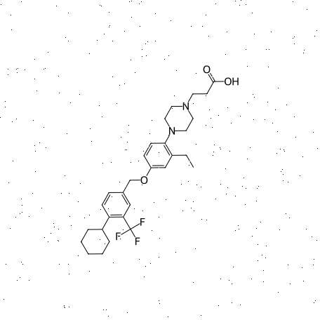 CCc1cc(OCc2ccc(C3CCCCC3)c(C(F)(F)F)c2)ccc1N1CCN(CCC(=O)O)CC1